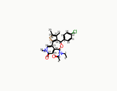 CCN(C(C)=O)C1OC(c2ccc(Cl)cc2)c2c(sc(C)c2C)-c2cn(C)c(=O)cc21